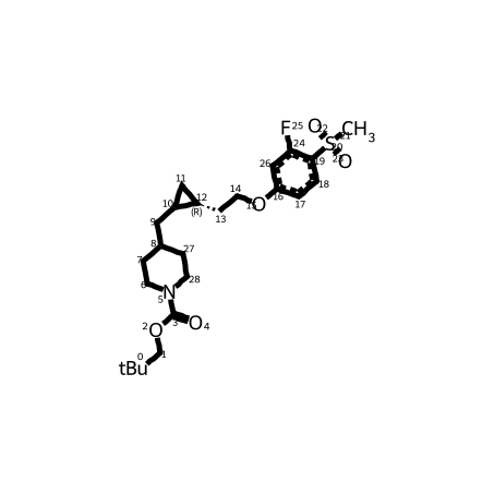 CC(C)(C)COC(=O)N1CCC(CC2C[C@@H]2CCOc2ccc(S(C)(=O)=O)c(F)c2)CC1